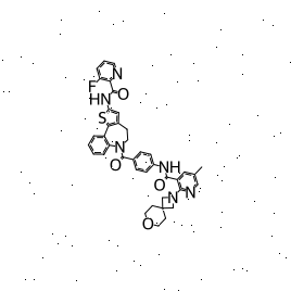 Cc1cnc(N2CC3(CCOCC3)C2)c(C(=O)Nc2ccc(C(=O)N3CCc4cc(NC(=O)c5ncccc5F)sc4-c4ccccc43)cc2)c1